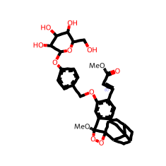 COC(=O)/C=C/c1ccc(C2(OC)OOC23C2CC4CC(C2)CC3C4)cc1OCc1ccc(OC2OC(CO)C(O)C(O)C2O)cc1